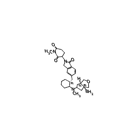 B[C@]12COC[C@H]1CC(N(C)C1CCCC[C@@H]1Cc1ccc3c(c1)CN(C1CCC(=O)N(C)C1=O)C3=O)C2